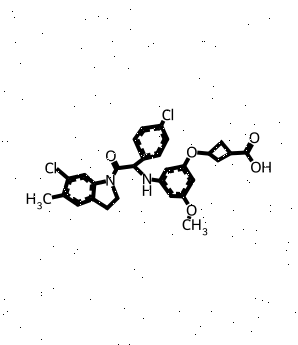 COc1cc(NC(C(=O)N2CCc3cc(C)c(Cl)cc32)c2ccc(Cl)cc2)cc(OC2CC(C(=O)O)C2)c1